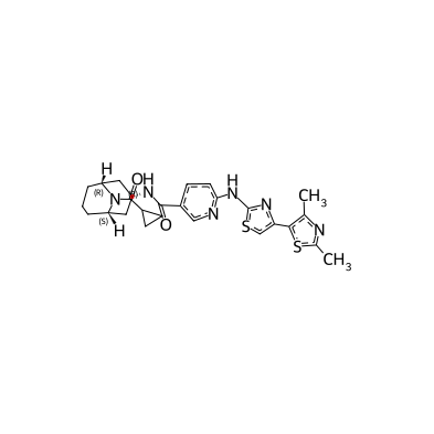 Cc1nc(C)c(-c2csc(Nc3ccc(C(=O)N[C@H]4C[C@H]5CCC[C@@H](C4)N5C(=O)C4CC4)cn3)n2)s1